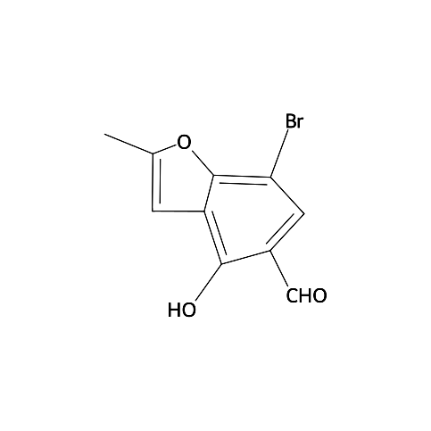 Cc1cc2c(O)c(C=O)cc(Br)c2o1